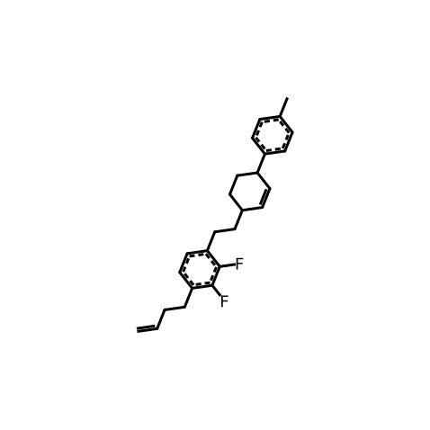 C=CCCc1ccc(CCC2C=CC(c3ccc(C)cc3)CC2)c(F)c1F